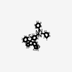 c1ccc(-c2nc(-c3ccccc3)nc(-c3ccc4c(c3)Sc3ccccc3C43c4ccccc4-c4c3ccc3occc43)n2)cc1